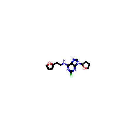 Clc1nc(NCCc2ccco2)c2ncn(C3CCCO3)c2n1